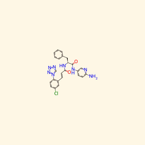 Nc1ccc(NC(=O)[C@H](Cc2ccccc2)NC(=O)C=Cc2cc(Cl)ccc2-n2cnnn2)cn1